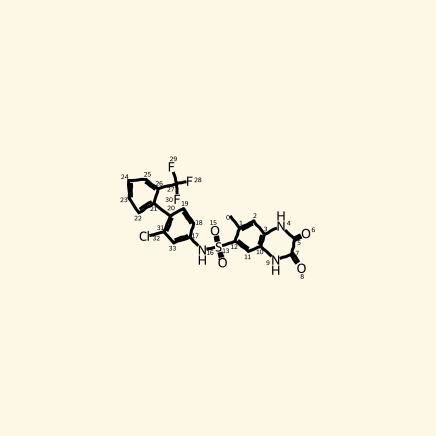 Cc1cc2[nH]c(=O)c(=O)[nH]c2cc1S(=O)(=O)Nc1ccc(-c2ccccc2C(F)(F)F)c(Cl)c1